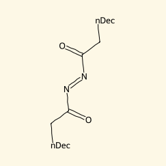 CCCCCCCCCCCC(=O)N=NC(=O)CCCCCCCCCCC